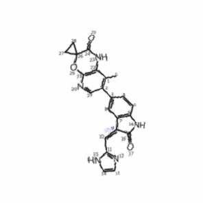 Cc1c(-c2ccc3c(c2)/C(=C/c2ncc[nH]2)C(=O)N3)cnc2c1NC(=O)C1(CC1)O2